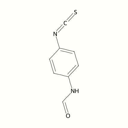 O=CNc1ccc(N=C=S)cc1